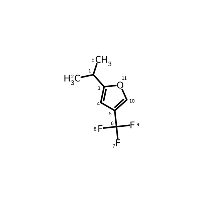 CC(C)c1cc(C(F)(F)F)co1